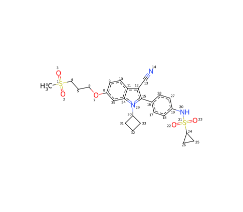 CS(=O)(=O)CCCOc1ccc2c(C#N)c(-c3ccc(NS(=O)(=O)C4CC4)cc3)n(C3CCC3)c2c1